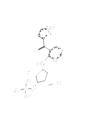 CC(C)[Si](O[C@@H]1[C@@H](CO)C[C@@H](Nc2ncncc2C(=O)c2cc[nH]n2)[C@H]1F)(C(C)C)C(C)C